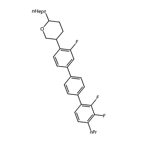 CCCCCCCC1CCC(c2ccc(-c3ccc(-c4ccc(CCC)c(F)c4F)cc3)cc2F)CO1